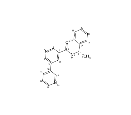 C[C@H](NC(=O)c1cncc(-c2cccnc2)c1)c1ccccc1